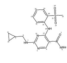 CNC(=O)c1cnc(NCC2CC2)nc1Nc1ccccc1S(C)(=O)=O